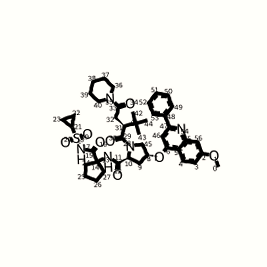 COc1ccc2c(O[C@@H]3C[C@@H](C(=O)NC4(C(=O)NS(=O)(=O)C5CC5)CCCC4)N(C(=O)[C@@H](CC(=O)N4CCCCC4)C(C)(C)C)C3)cc(-c3ccccc3)nc2c1